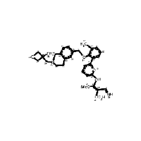 CO/C(Nc1cccc(-c2cccc(C)c2OCc2ccc3c(c2)CCN(CC2(C)COC2)C3)n1)=C(/C=N)C(=O)O